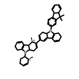 C[C@H]1C=CCCC1N1C2=C(C=CCC2)C2C1CC=C(C1=CCC3C(=C1)C1=C(CCC=C1)N3c1ccc3c(c1)C(C)(C)C1C=CC=CC31)[C@@H]2C